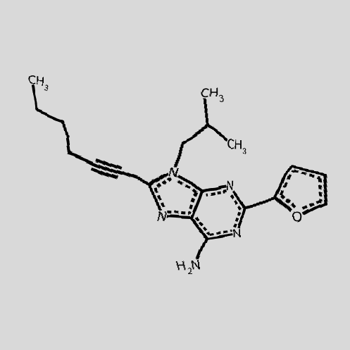 CCCCC#Cc1nc2c(N)nc(-c3ccco3)nc2n1CC(C)C